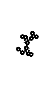 c1ccc(-c2cccc(N3c4ccc(-c5ccc6c(c5)Sc5c(ccc7ccccc57)N6c5ccc6c7ccccc7c7ccccc7c6c5)cc4Sc4c3ccc3ccccc43)c2)cc1